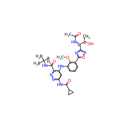 BC(B)(B)NC(=O)c1nnc(NC(=O)C2CC2)cc1Nc1cccc(-c2nc([C@@H](NC(C)=O)[C@@H](C)O)no2)c1OC